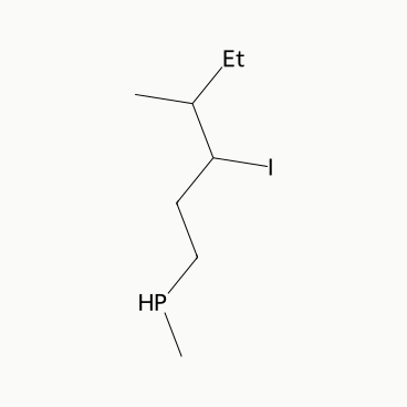 CCC(C)C(I)CCPC